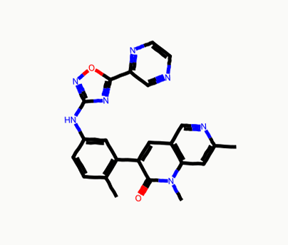 Cc1cc2c(cn1)cc(-c1cc(Nc3noc(-c4cnccn4)n3)ccc1C)c(=O)n2C